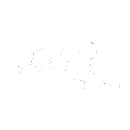 Cc1ncc2c(n1)-c1ccccc1N(C(=O)c1ccc([N+](=O)[O-])cc1)CC2